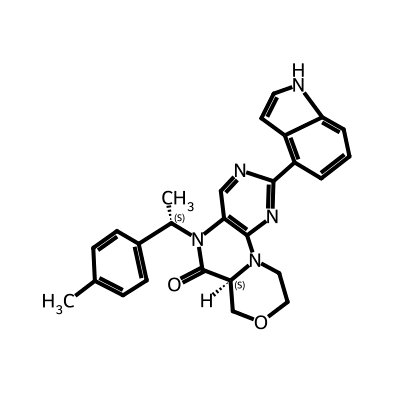 Cc1ccc([C@H](C)N2C(=O)[C@@H]3COCCN3c3nc(-c4cccc5[nH]ccc45)ncc32)cc1